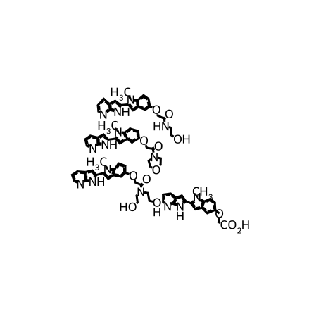 Cn1c(-c2cc3cccnc3[nH]2)cc2cc(OCC(=O)N(CCO)CCO)ccc21.Cn1c(-c2cc3cccnc3[nH]2)cc2cc(OCC(=O)N3CCOCC3)ccc21.Cn1c(-c2cc3cccnc3[nH]2)cc2cc(OCC(=O)NCCO)ccc21.Cn1c(-c2cc3cccnc3[nH]2)cc2cc(OCC(=O)O)ccc21